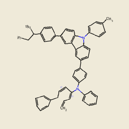 C=C/C=C(\C=C/Cc1ccccc1)N(c1ccccc1)c1ccc(-c2ccc3c(c2)c2cc(-c4ccc(C(CC(C)C)C(C)(C)C)cc4)ccc2n3-c2ccc(C)cc2)cc1